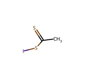 CC(=S)SI